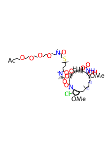 COc1cc2cc(c1Cl)N(C)C(=O)C[C@H](OC(=O)[C@H](C)N(C)C(=O)CCC(C)(C)SCC(=O)N(C)CCOCCOCCOCCOCCC(C)=O)[C@]1(C)O[C@H]1[C@H](C)[C@@H]1C[C@@](O)(NC(=O)O1)[C@H](OC)/C=C/C=C(\C)C2